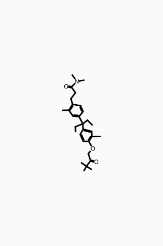 CCC(CC)(c1ccc(CCC(=O)N(C)C)c(C)c1)c1ccc(OCC(=O)C(C)(C)C)c(C)c1